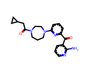 Nc1ncccc1C(=O)c1cccc(N2CCCN(C(=O)CC3CC3)CC2)n1